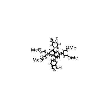 COCCN(CCOC)c1nc(N2CCc3cn[nH]c3C2)c2nc(N(CCOC)CCOC)nc(N3CCN(C)C(=O)C3)c2n1